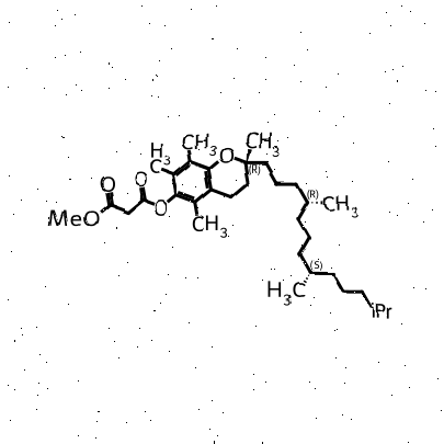 COC(=O)CC(=O)Oc1c(C)c(C)c2c(c1C)CC[C@@](C)(CCC[C@H](C)CCC[C@@H](C)CCCC(C)C)O2